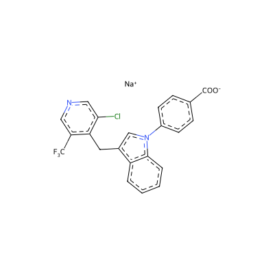 O=C([O-])c1ccc(-n2cc(Cc3c(Cl)cncc3C(F)(F)F)c3ccccc32)cc1.[Na+]